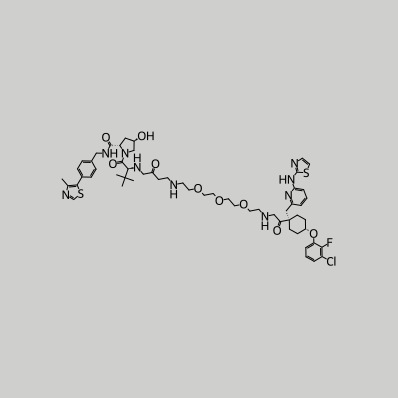 Cc1ncsc1-c1ccc(CNC(=O)[C@@H]2C[C@@H](O)CN2C(=O)[C@@H](NCC(=O)CCNCCOCCOCCOCCNCC(=O)[C@]2(Cc3cccc(Nc4nccs4)n3)CC[C@@H](Oc3cccc(Cl)c3F)CC2)C(C)(C)C)cc1